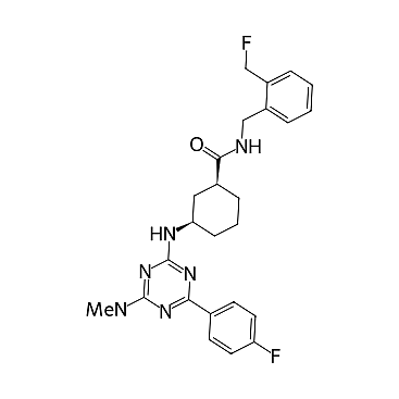 CNc1nc(N[C@@H]2CCC[C@H](C(=O)NCc3ccccc3CF)C2)nc(-c2ccc(F)cc2)n1